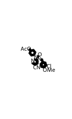 COc1ccc(Cn2c(=O)n(C3CCC(OC(C)=O)CC3)c3ncc(C#N)cc32)cc1Cl